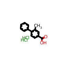 Cc1cc(C(=O)O)ccc1-c1ccccc1.Cl.Cl